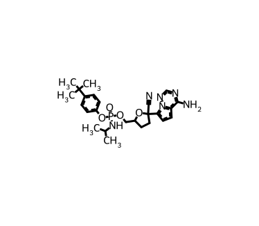 CC(C)NP(=O)(OCC1CCC(C#N)(c2ccc3c(N)ncnn23)O1)Oc1ccc(C(C)(C)C)cc1